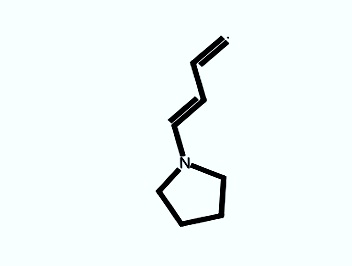 [CH]=CC=CN1CCCC1